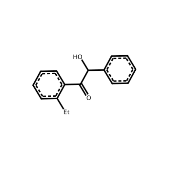 CCc1ccccc1C(=O)C(O)c1ccccc1